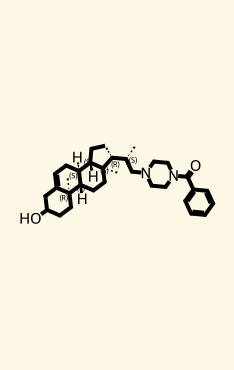 C[C@H](CN1CCN(C(=O)c2ccccc2)CC1)[C@H]1CC[C@H]2[C@@H]3CC=C4CC(O)CC[C@]4(C)[C@H]3CC[C@]12C